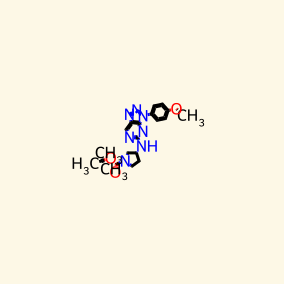 COc1ccc(-n2nnc3cnc(NC4CCN(C(=O)OC(C)(C)C)C4)nc32)cc1